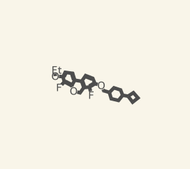 CCOc1ccc2c(c1F)OCc1c-2ccc(OCC2CCC(C3CCC3)CC2)c1F